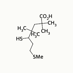 CSCCC(S)C(C)(C)CC(C)(C)C(=O)O